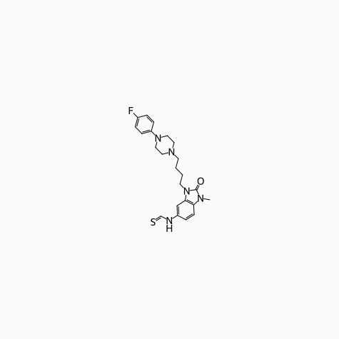 Cn1c(=O)n(CCCCN2CCN(c3ccc(F)cc3)CC2)c2cc(NC=S)ccc21